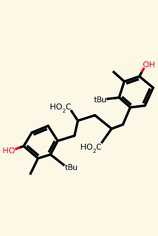 Cc1c(O)ccc(CC(CC(Cc2ccc(O)c(C)c2C(C)(C)C)C(=O)O)C(=O)O)c1C(C)(C)C